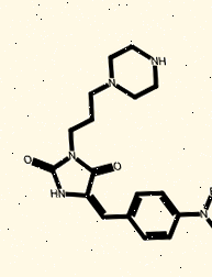 CCN(CC)c1ccc(/C=C2/NC(=O)N(CCCN3CCNCC3)C2=O)cc1